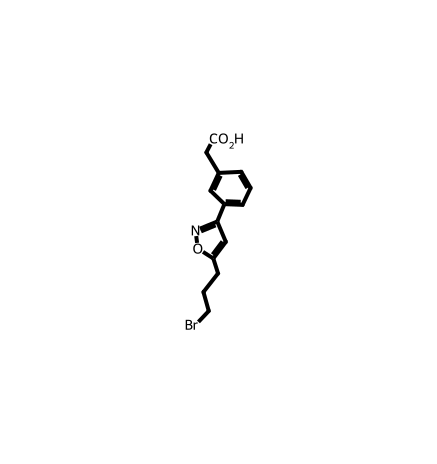 O=C(O)Cc1cccc(-c2cc(CCCBr)on2)c1